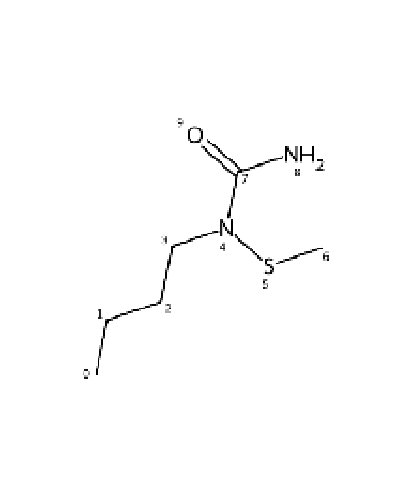 CCCCN(SC)C(N)=O